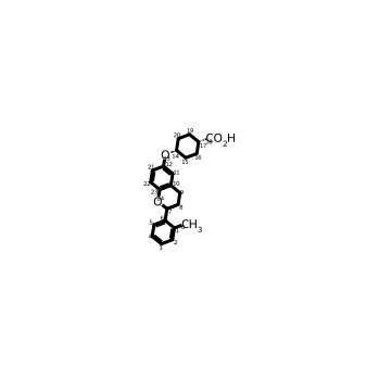 Cc1ccccc1C1CCc2cc(O[C@H]3CC[C@@H](C(=O)O)CC3)ccc2O1